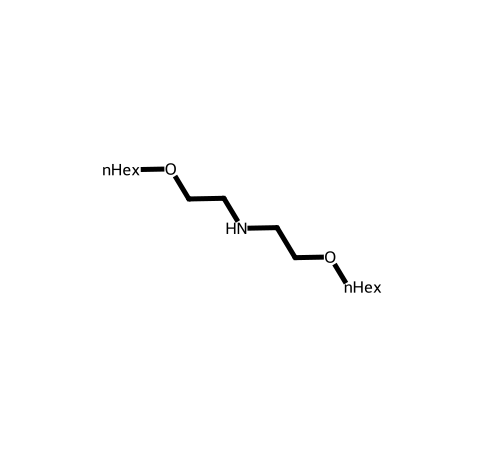 CCCCCCOCCNCCOCCCCCC